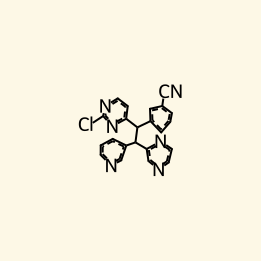 N#Cc1cccc(C(c2ccnc(Cl)n2)C(c2cccnc2)c2cnccn2)c1